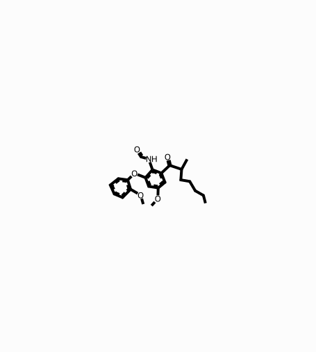 CCCCCC(C)C(=O)c1cc(OC)cc(Oc2ccccc2OC)c1NC=O